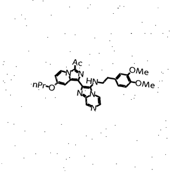 CCCOc1ccn2c(C(C)=O)nc(-c3nc4cnccn4c3NCCc3ccc(OC)c(OC)c3)c2c1